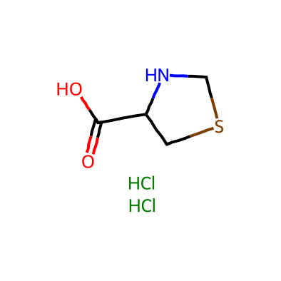 Cl.Cl.O=C(O)C1CSCN1